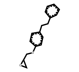 c1ccc(CCc2ccc(OCC3CO3)cc2)cc1